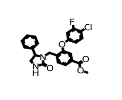 COC(=O)c1ccc(CN2C(=O)NCC2c2ccccc2)c(Oc2ccc(Cl)c(F)c2)c1